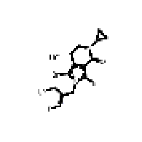 Cl.NC/C(=C\F)Cn1c(Br)c2c(c1Br)C(=O)N(C1CC1)CC2